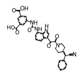 N#CC(=C1CCN(C(=O)C(=O)c2c[nH]c3c(NC(=O)Nc4cc(C(=O)O)cc(C(=O)O)c4)cccc23)CC1)c1ccccc1